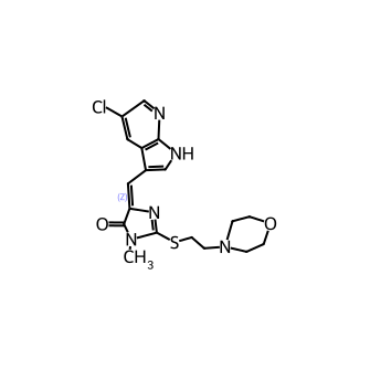 CN1C(=O)/C(=C/c2c[nH]c3ncc(Cl)cc23)N=C1SCCN1CCOCC1